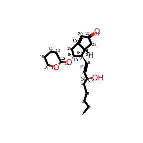 CCCCC[C@H](O)/C=C/[C@H]1[C@H](OC2CCCCO2)CC2=CC(=O)C[C@@H]21